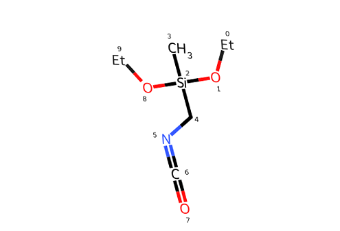 CCO[Si](C)(CN=C=O)OCC